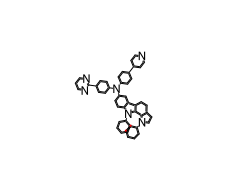 c1ccc(-n2ccc3ccc4c5cc(N(c6ccc(-c7ccncc7)cc6)c6ccc(-c7ncccn7)cc6)ccc5n(-c5ccccc5)c4c32)cc1